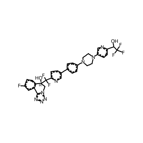 OC(c1ccc(N2CCN(c3ccc(-c4ccc(C(F)(F)[C@]5(O)Cn6nnnc6-c6cc(F)ccc65)nc4)cc3)CC2)cn1)C(F)(F)F